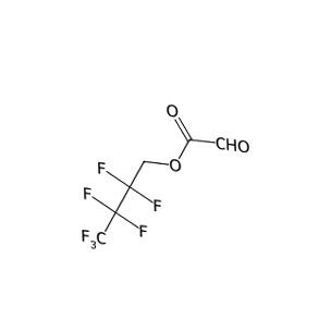 O=CC(=O)OCC(F)(F)C(F)(F)C(F)(F)F